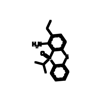 CCc1ccc2c(c1N)P(=O)(C(C)C)c1ccccc1S2